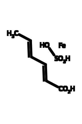 CC=CC=CC(=O)O.O=S(=O)(O)O.[Fe]